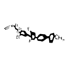 CCc1cc(-c2c(F)cc(-c3ccc(C4CCC(C)CC4)cc3)cc2F)cc(CC)c1OCCC(CC)CC